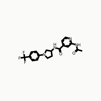 CC(=O)Nc1cc(C(=O)NC2CCN(c3ccc(C(F)(F)F)cc3)C2)ccn1